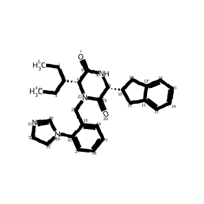 CCC(CC)[C@@H]1C(=O)N[C@H](C2Cc3ccccc3C2)C(=O)N1Cc1ccccc1N1C=NCC1